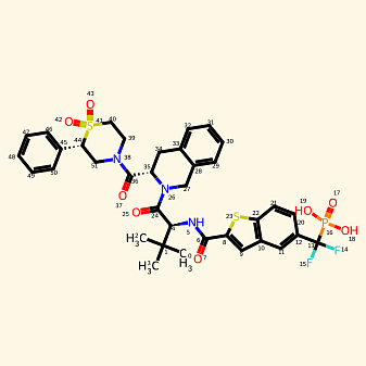 CC(C)(C)[C@H](NC(=O)c1cc2cc(C(F)(F)P(=O)(O)O)ccc2s1)C(=O)N1Cc2ccccc2C[C@H]1C(=O)N1CCS(=O)(=O)[C@@H](c2ccccc2)C1